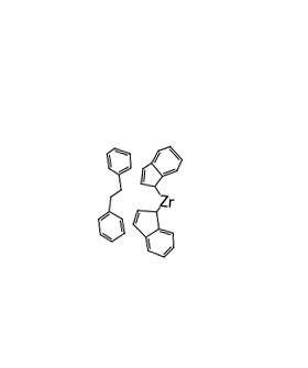 C1=C[CH]([Zr][CH]2C=Cc3ccccc32)c2ccccc21.c1ccc(CCc2ccccc2)cc1